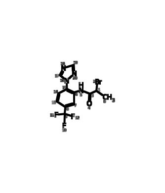 CC(Br)C(=O)Nc1cc(C(F)(F)F)ccc1-n1cncn1